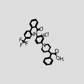 Cl.O=C(Nc1ccc(N2CCC(C(C(=O)O)c3ccccc3)CC2)cc1)c1ccccc1-c1ccc(C(F)(F)F)cc1